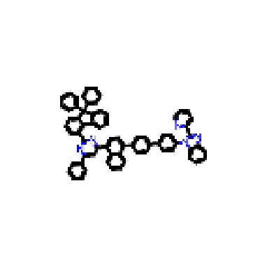 c1ccc(-c2cc(-c3ccc(-c4ccc(-c5ccc(-n6c(-c7ccccn7)nc7ccccc76)cc5)cc4)c4ccccc34)nc(-c3cccc4c3-c3ccccc3C4(c3ccccc3)c3ccccc3)n2)cc1